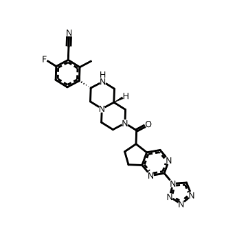 Cc1c([C@H]2CN3CCN(C(=O)C4CCc5nc(-n6cnnn6)ncc54)C[C@H]3CN2)ccc(F)c1C#N